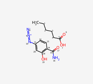 CCCCCC(=O)O.[N-]=[N+]=Nc1ccc(C(N)=O)c(O)c1